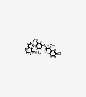 Nc1ncnc2cnn(-c3ccc(NC(=O)[C@H](O)c4cccc(Cl)c4)cc3Cl)c12